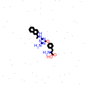 CC(Nc1nc(N)nc(Oc2ccc(CC(N)C(=O)O)cc2)n1)c1ccc2ccccc2c1